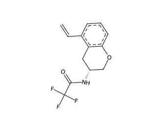 C=Cc1cccc2c1C[C@@H](NC(=O)C(F)(F)F)CO2